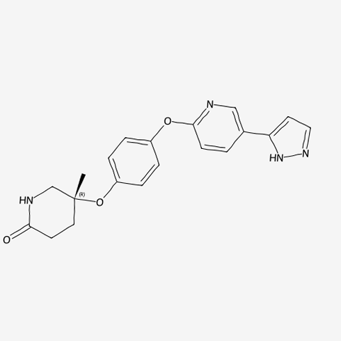 C[C@@]1(Oc2ccc(Oc3ccc(-c4ccn[nH]4)cn3)cc2)CCC(=O)NC1